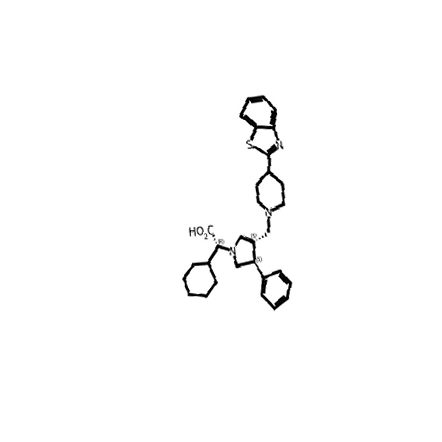 O=C(O)[C@@H](C1CCCCC1)N1C[C@H](CN2CCC(c3nc4ccccc4s3)CC2)[C@@H](c2ccccc2)C1